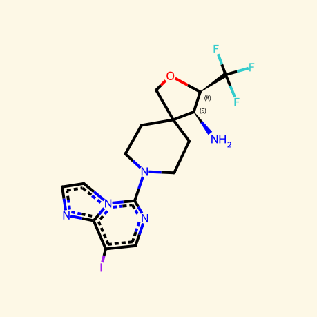 N[C@@H]1[C@H](C(F)(F)F)OCC12CCN(c1ncc(I)c3nccn13)CC2